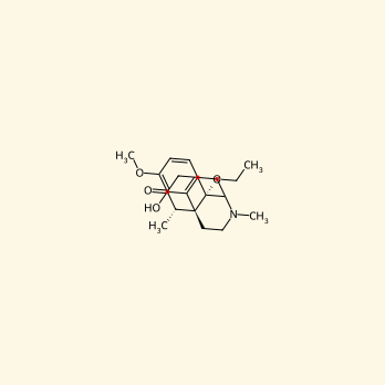 CCO[C@@]12CCC(=O)[C@@H](C)[C@@]13CCN(C)C2Cc1ccc(OC)c(O)c13